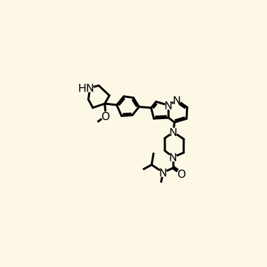 COC1(c2ccc(-c3cc4c(N5CCN(C(=O)N(C)C(C)C)CC5)ccnn4c3)cc2)CCNCC1